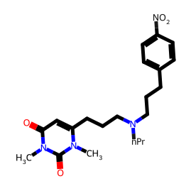 CCCN(CCCc1ccc([N+](=O)[O-])cc1)CCCc1cc(=O)n(C)c(=O)n1C